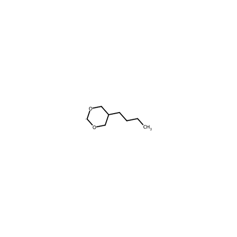 CCCCC1CO[CH]OC1